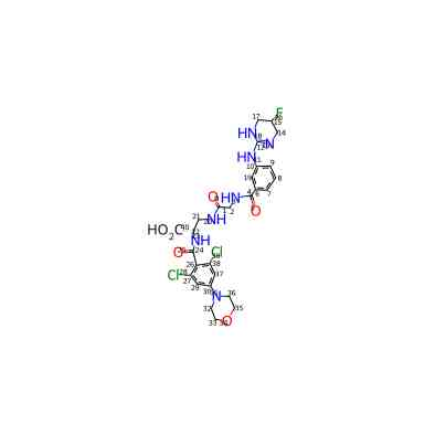 O=C(CNC(=O)c1cccc(NC2=NCC(F)CN2)c1)NC[C@H](NC(=O)c1c(Cl)cc(N2CCOCC2)cc1Cl)C(=O)O